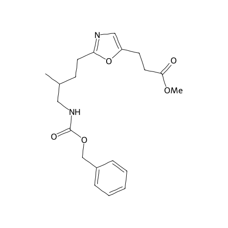 COC(=O)CCc1cnc(CCC(C)CNC(=O)OCc2ccccc2)o1